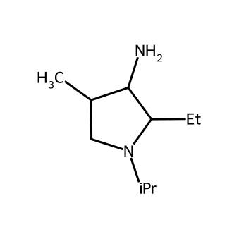 CCC1C(N)C(C)CN1C(C)C